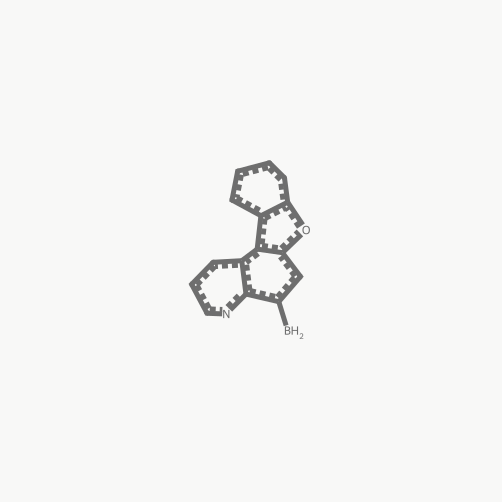 Bc1cc2oc3ccccc3c2c2cccnc12